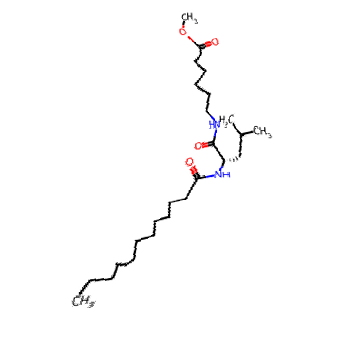 CCCCCCCCCCCC(=O)N[C@@H](CC(C)C)C(=O)NCCCCCC(=O)OC